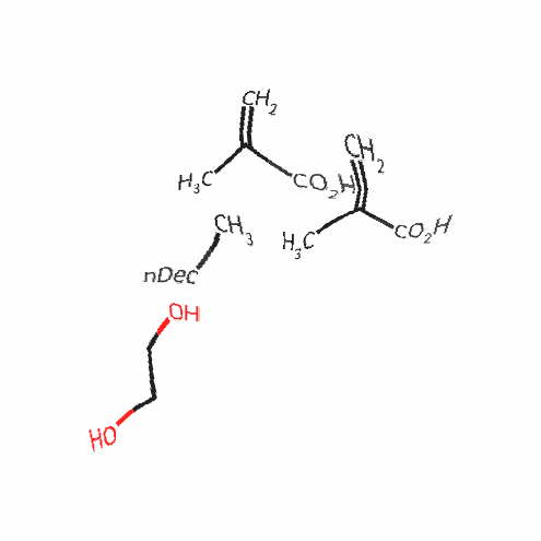 C=C(C)C(=O)O.C=C(C)C(=O)O.CCCCCCCCCCC.OCCO